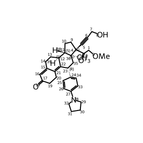 COCC(=O)[C@@]1(C#CCO)CC[C@H]2[C@@H]3CCC4=CC(=O)CCC4=C3[C@@H](c3ccc(N4CCCC4)cc3)C[C@@]21C